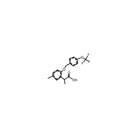 Cc1ccc(OCc2ccc(OC(F)(F)F)cc2)c(C(C)C(=O)O)c1